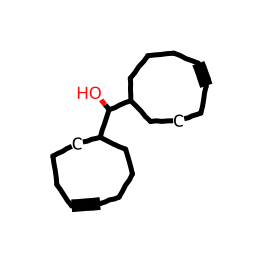 OC(C1CCCC#CCCC1)C1CCCC#CCCC1